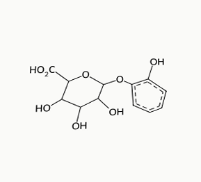 O=C(O)C1OC(Oc2ccccc2O)C(O)C(O)C1O